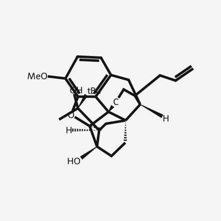 C=CCC1CC[C@]23c4c5ccc(OC)c4O[C@]2(C)[C@@]2(O)CC[C@@]3(C[C@@H]2[C@](C)(O)C(C)(C)C)[C@H]1C5